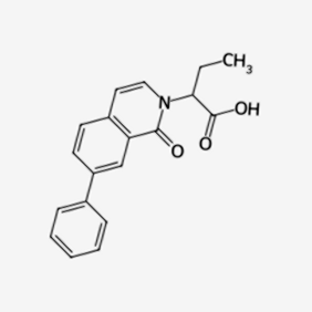 CCC(C(=O)O)n1ccc2ccc(-c3ccccc3)cc2c1=O